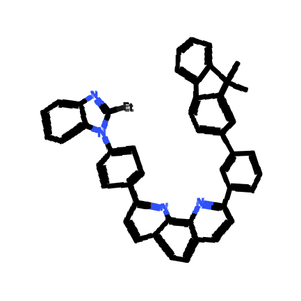 CCc1nc2ccccc2n1-c1ccc(-c2ccc3ccc4ccc(-c5cccc(-c6ccc7c(c6)C(C)(C)c6ccccc6-7)c5)nc4c3n2)cc1